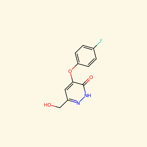 O=c1[nH]nc(CO)cc1Oc1ccc(F)cc1